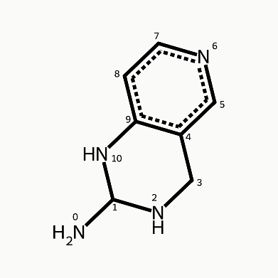 NC1NCc2cnccc2N1